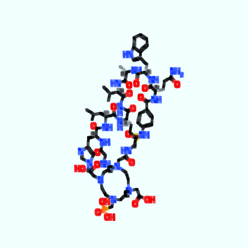 CSCC[C@H](NC(=O)[C@H](CC(C)C)NC(=O)[C@H](Cc1c[nH]cn1)NC(=O)CN)C(=O)NC(=O)[C@@H](NC(=O)[C@H](C)NC(=O)[C@H](Cc1c[nH]c2ccccc12)NC(=O)[C@H](CCC(N)=O)NC(=O)c1ccc(NC(=O)CNC(=O)CN2CCN(CC(=O)O)CCN(CP(=O)(O)O)CCN(CC(=O)O)CC2)cc1)C(C)C